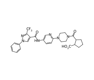 O=C(Nc1ccc(N2CCN(C(=O)C3CCCC3C(=O)O)CC2)nc1)c1cn(-c2ccccc2)nc1C(F)(F)F